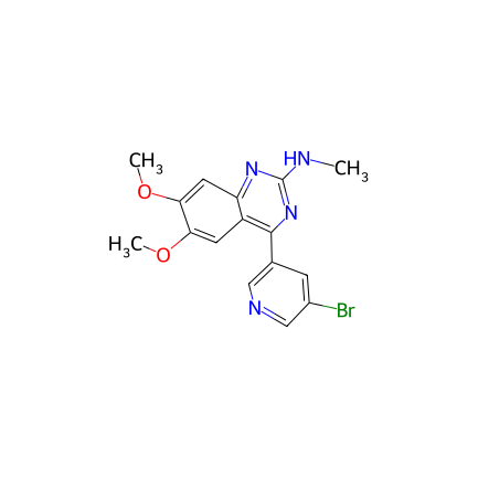 CNc1nc(-c2cncc(Br)c2)c2cc(OC)c(OC)cc2n1